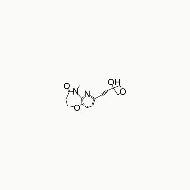 CN1C(=O)CCOc2ccc(C#CC3(O)COC3)nc21